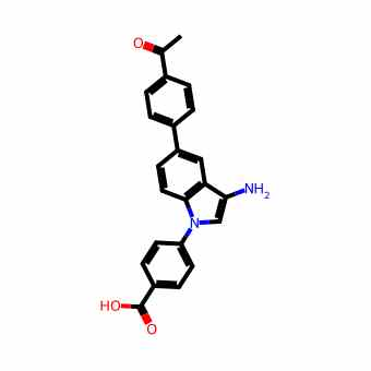 CC(=O)c1ccc(-c2ccc3c(c2)c(N)cn3-c2ccc(C(=O)O)cc2)cc1